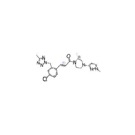 Cc1nnn(Cc2cc(Cl)ccc2/C=C/C(=O)N2CCN(c3ccn(C)n3)C[C@H]2C)n1